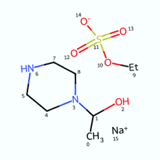 CC(O)N1CCNCC1.CCOS(=O)(=O)[O-].[Na+]